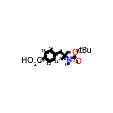 CN(C(=O)OC(C)(C)C)C(C)(C)Cc1ccc(C(=O)O)cc1